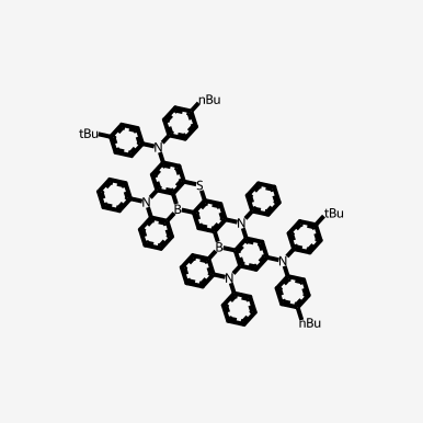 CCCCc1ccc(N(c2ccc(C(C)(C)C)cc2)c2cc3c4c(c2)N(c2ccccc2)c2ccccc2B4c2cc4c(cc2S3)N(c2ccccc2)c2cc(N(c3ccc(CCCC)cc3)c3ccc(C(C)(C)C)cc3)cc3c2B4c2ccccc2N3c2ccccc2)cc1